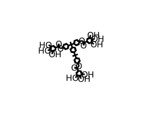 CC(C)(c1ccc(OC(=O)c2cc(O)c(O)c(O)c2)cc1)c1ccc(C(C)(c2ccc(OC(=O)c3cc(O)c(O)c(O)c3)cc2)c2ccc(OC(=O)c3cc(O)c(O)c(O)c3)cc2)cc1